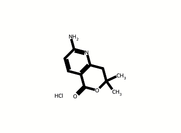 CC1(C)Cc2nc(N)ccc2C(=O)O1.Cl